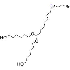 OCCCCCCOC(CCCCCCC/C=C\CCBr)OCCCCCCO